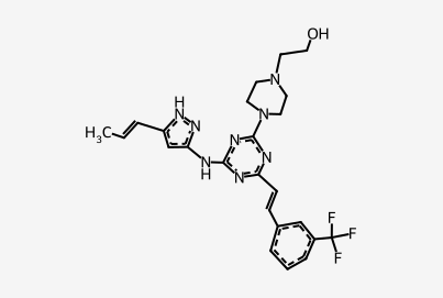 C/C=C/c1cc(Nc2nc(/C=C/c3cccc(C(F)(F)F)c3)nc(N3CCN(CCO)CC3)n2)n[nH]1